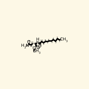 CCCCCCCCCCCC(=O)N[C@@H](CCC(N)=O)C(=O)OC